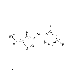 Cc1cc(F)ccc1/N=C1/N[C@@H](CC(C)C)CS1